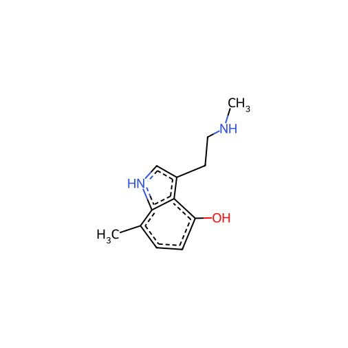 CNCCc1c[nH]c2c(C)ccc(O)c12